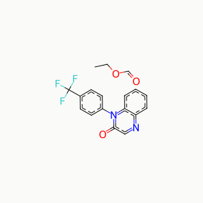 CCOC=O.O=c1cnc2ccccc2n1-c1ccc(C(F)(F)F)cc1